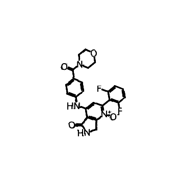 O=C1NCc2c1c(Nc1ccc(C(=O)N3CCOCC3)cc1)cc(-c1c(F)cccc1F)[n+]2[O-]